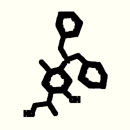 Cc1cc(C(C)CO)c(O)cc1N(Cc1ccccc1)Cc1ccccc1